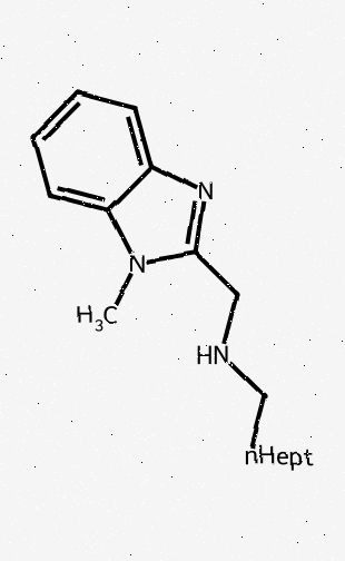 CCCCCCCCNCc1nc2ccccc2n1C